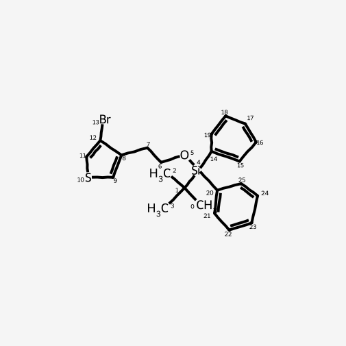 CC(C)(C)[Si](OCCc1cscc1Br)(c1ccccc1)c1ccccc1